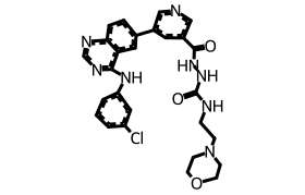 O=C(NCCN1CCOCC1)NNC(=O)c1cncc(-c2ccc3ncnc(Nc4cccc(Cl)c4)c3c2)c1